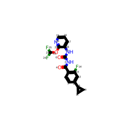 O=C(NC(=O)c1ccc(C2CC2)cc1F)Nc1cccnc1OC(F)F